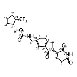 O=C1CC[C@@H](N2Cc3ccc(CNC(=O)OC[C@@H]4CCC[C@H]4C(F)(F)F)cc3C2=O)C(=O)N1